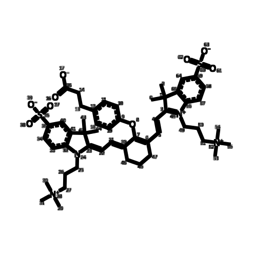 CC1(C)C(/C=C/C2=C(Oc3ccc(CCC(=O)[O-])cc3)C(=C/C=C3/N(CCC[N+](C)(C)C)c4ccc(S(=O)(=O)[O-])cc4C3(C)C)/CCC2)=[N+](CCC[N+](C)(C)C)c2ccc(S(=O)(=O)[O-])cc21